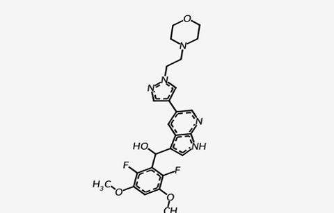 COc1cc(OC)c(F)c(C(O)c2c[nH]c3ncc(-c4cnn(CCN5CCOCC5)c4)cc23)c1F